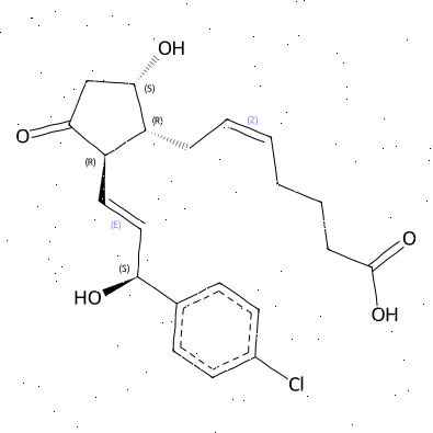 O=C(O)CCC/C=C\C[C@H]1[C@@H](O)CC(=O)[C@@H]1/C=C/[C@H](O)c1ccc(Cl)cc1